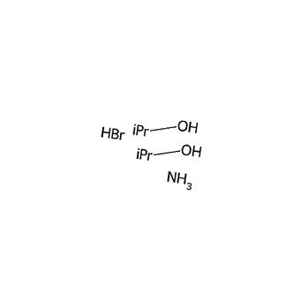 Br.CC(C)O.CC(C)O.N